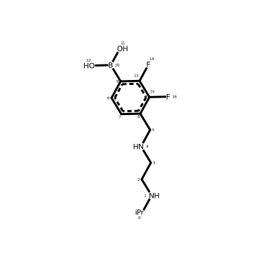 CC(C)NCCNCc1ccc(B(O)O)c(F)c1F